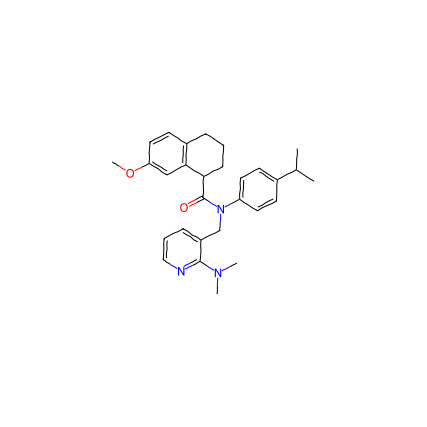 COc1ccc2c(c1)C(C(=O)N(Cc1cccnc1N(C)C)c1ccc(C(C)C)cc1)CCC2